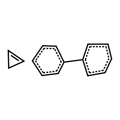 C1=CC1.c1ccc(-c2ccccc2)cc1